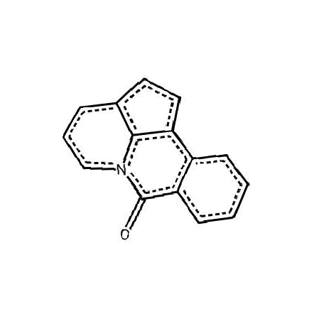 O=c1c2ccccc2c2ccc3cccn1c32